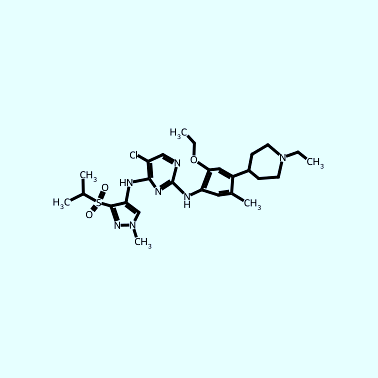 CCOc1cc(C2CCN(CC)CC2)c(C)cc1Nc1ncc(Cl)c(Nc2cn(C)nc2S(=O)(=O)C(C)C)n1